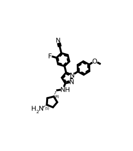 COc1ccc(-n2nc(NC[C@@H]3CC[C@H](N)C3)cc2-c2ccc(C#N)c(F)c2)cc1